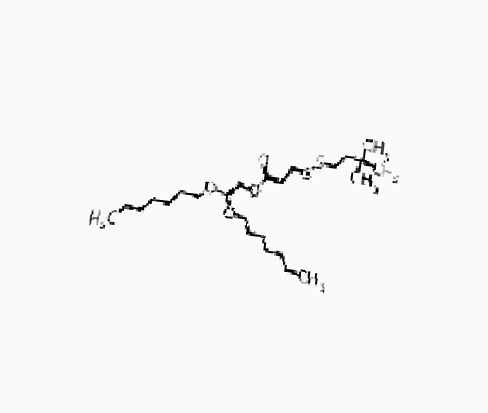 CCCCCCCOC(COC(=O)CCSSCCC(C)(C)C)OCCCCCCC